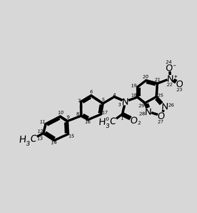 CC(=O)N(Cc1ccc(-c2ccc(C)cc2)cc1)c1ccc([N+](=O)[O-])c2nonc12